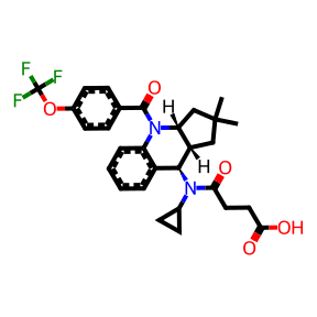 CC1(C)C[C@H]2[C@@H](C1)N(C(=O)c1ccc(OC(F)(F)F)cc1)c1ccccc1[C@@H]2N(C(=O)CCC(=O)O)C1CC1